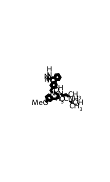 COc1ccc2c(c1)CC[C@@H](NC(=O)CC(C)(C)NC[C@@H](C)O)C(=O)N2Cc1ccc(-c2ccccc2-c2nnn[nH]2)cc1